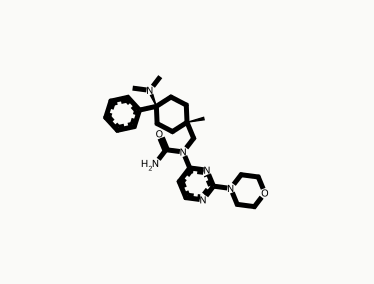 CN(C)[C@]1(c2ccccc2)CC[C@@](C)(CN(C(N)=O)c2ccnc(N3CCOCC3)n2)CC1